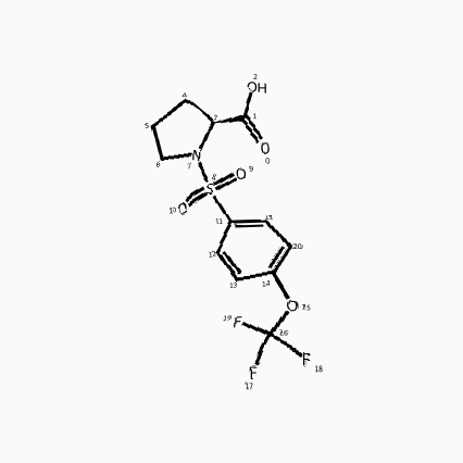 O=C(O)[C@@H]1CCCN1S(=O)(=O)c1ccc(OC(F)(F)F)cc1